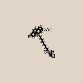 CC(=O)O[C@H]1CC[C@H]2[C@@H]3CCC4=CC(=O)CCC4=C3[C@@H](CCCCCCCCCCC(=O)NCC(C)(C)Cl)C[C@]12C